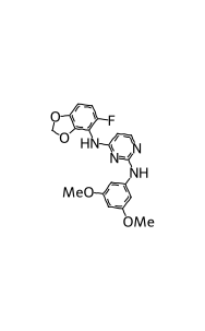 COc1cc(Nc2nccc(Nc3c(F)ccc4c3OCO4)n2)cc(OC)c1